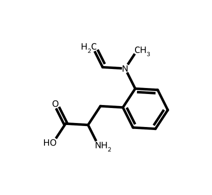 C=CN(C)c1ccccc1CC(N)C(=O)O